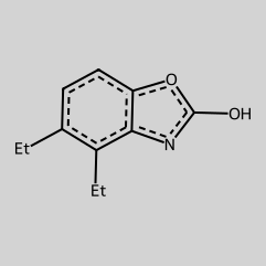 CCc1ccc2oc(O)nc2c1CC